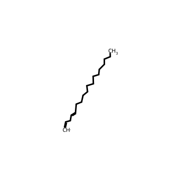 [CH]=CCC=CCCCCCCCCCCCCC